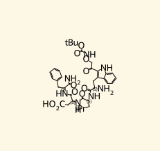 CC(C)C[C@H](NC(=O)[C@@H](N)Cc1c(C(=O)CONC(=O)OC(C)(C)C)[nH]c2ccccc12)C(=O)N[C@@H](CC(=O)O)C(=O)N[C@@H](Cc1ccccc1)C(N)=O